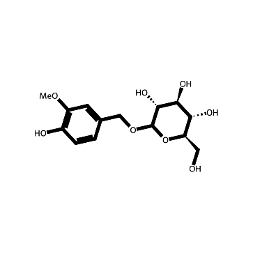 COc1cc(COC2O[C@H](CO)[C@@H](O)[C@H](O)[C@H]2O)ccc1O